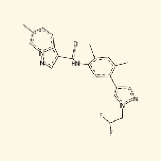 Cc1ccc2c(C(=O)Nc3cc(-c4cnn(CC(F)F)c4)c(C)cc3C)cnn2c1